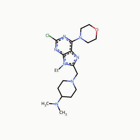 CCn1c(CN2CCC(N(C)C)CC2)nc2c(N3CCOCC3)nc(Cl)nc21